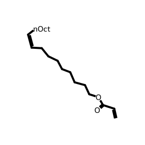 C=CC(=O)OCCCCCCCC/C=C\C[CH]CCCCCC